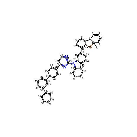 CC12C=CC=CC1c1cccc(-c3ccc4c5ccccc5n(-c5nccc(-c6ccc(-c7cccc(-c8ccccc8)c7)cc6)n5)c4c3)c1S2